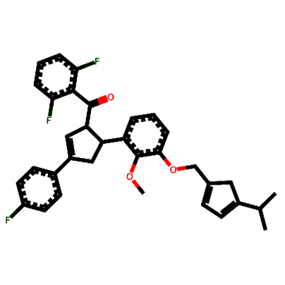 COc1c(OCC2=CC=C(C(C)C)C2)cccc1C1CC(c2ccc(F)cc2)=CC1C(=O)c1c(F)cccc1F